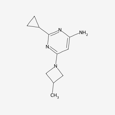 CC1CN(c2cc(N)nc(C3CC3)n2)C1